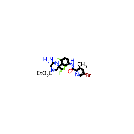 CCOC(=O)N1CC(N)=NC(c2cc(NC(=O)c3ncc(Br)cc3C)ccc2F)(C(F)F)C1